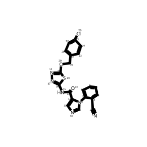 N#Cc1ccccc1-n1cncc1C(=O)Nc1nnc(OCc2ccc(Cl)cc2)s1